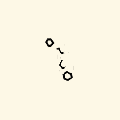 CCC(Oc1ccccc1)C(=O)NCCc1nc2ccccc2[nH]1